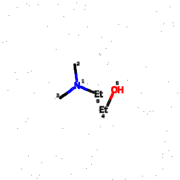 CCN(C)C.CCO